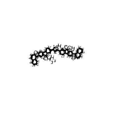 CC1(C)c2cc(-c3csc(-c4ccc5c(c4)C(C)(C)c4cc6c(cc4-5)oc4ccc5ccccc5c46)c3)ccc2-c2cc3oc4ccc5ccccc5c4c3cc21